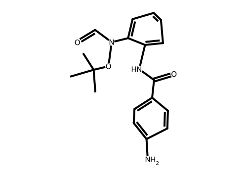 CC(C)(C)ON(C=O)c1ccccc1NC(=O)c1ccc(N)cc1